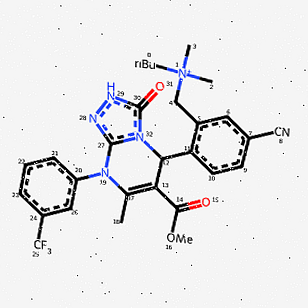 CCCC[N+](C)(C)Cc1cc(C#N)ccc1C1C(C(=O)OC)=C(C)N(c2cccc(C(F)(F)F)c2)c2n[nH]c(=O)n21